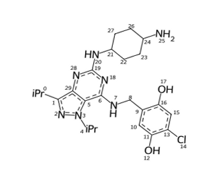 CC(C)c1nn(C(C)C)c2c(NCc3cc(O)c(Cl)cc3O)nc(NC3CCC(N)CC3)nc12